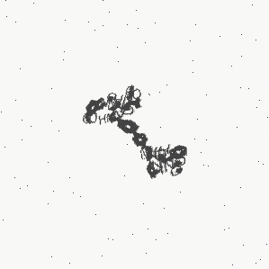 COC(=O)NC(C(=O)N1CCC[C@H]1c1nc(-c2ccc(-c3ccc(-c4c[nH]c([C@@H]5CN(C(=O)N6Cc7ccc8c(c7C6)OCO8)CN5C(=O)[C@@H](NC(=O)OC)C(C)C)n4)cc3)cc2)c[nH]1)c1ccccc1